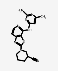 Cc1cc(Nc2nccc3nc(N4CCCC(C#N)C4)sc23)nc(N)n1